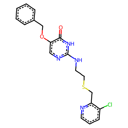 O=c1[nH]c(NCCSCc2ncccc2Cl)ncc1OCc1ccccc1